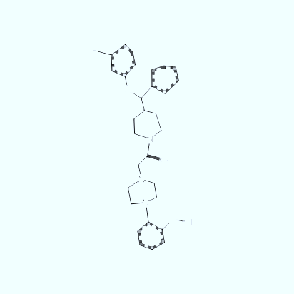 COc1ccccc1N1CCN(CC(=O)N2CCC(C(Oc3cccc(F)c3)c3ccccc3)CC2)CC1